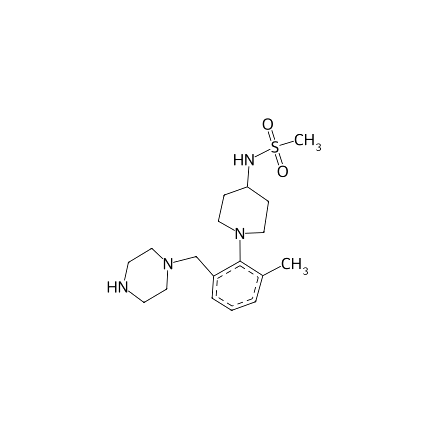 Cc1cccc(CN2CCNCC2)c1N1CCC(NS(C)(=O)=O)CC1